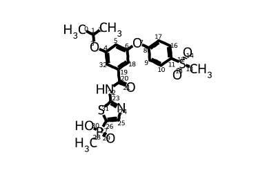 CC(C)Oc1cc(Oc2ccc(S(C)(=O)=O)cc2)cc(C(=O)Nc2ncc(P(C)(=O)O)s2)c1